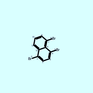 Brc1ccc(Br)c2c(Br)cccc12